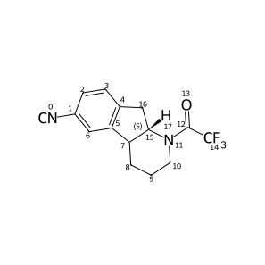 [C-]#[N+]c1ccc2c(c1)C1CCCN(C(=O)C(F)(F)F)[C@H]1C2